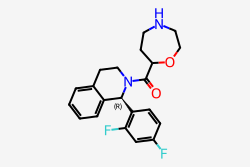 O=C(C1CCNCCO1)N1CCc2ccccc2[C@@H]1c1ccc(F)cc1F